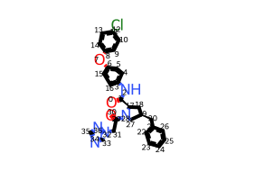 O=C(Nc1ccc(Oc2ccc(Cl)cc2)cc1)[C@H]1C[C@@H](Cc2ccccc2)CN1C(=O)Cn1cncn1